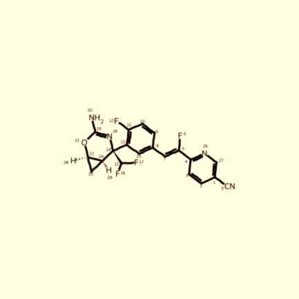 N#Cc1ccc(/C(F)=C/c2ccc(F)c([C@@]3(C(F)F)N=C(N)O[C@@H]4C[C@@H]43)c2)nc1